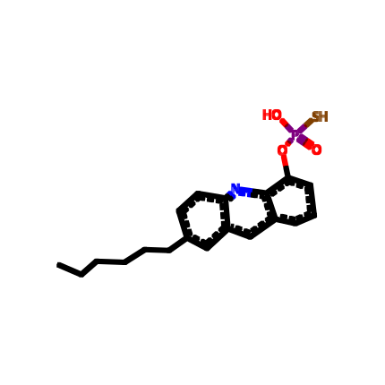 CCCCCCc1ccc2nc3c(OP(=O)(O)S)cccc3cc2c1